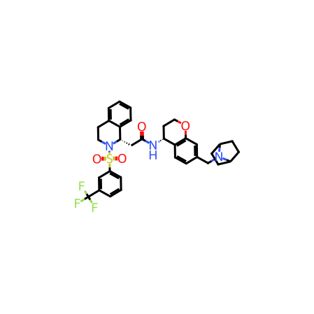 O=C(C[C@H]1c2ccccc2CCN1S(=O)(=O)c1cccc(C(F)(F)F)c1)N[C@@H]1CCOc2cc(CN3C4CCC3CC4)ccc21